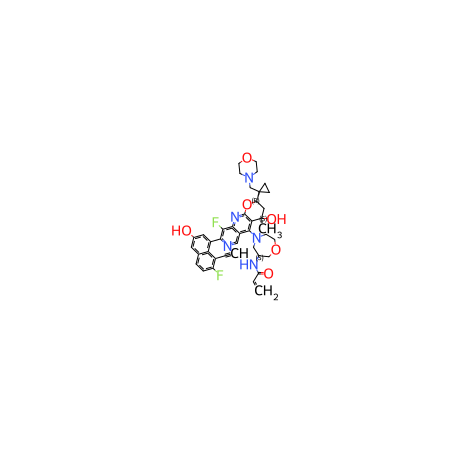 C#Cc1c(F)ccc2cc(O)cc(-c3ncc4c(N5CCOC[C@@H](NC(=O)C=C)C5)c5c(nc4c3F)O[C@@H](C3(CN4CCOCC4)CC3)C[C@]5(C)O)c12